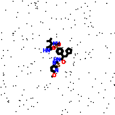 COc1ccc2nc(NC(=O)C(CC3CCCC3)c3ccc(S(=O)(=O)NC(C(C)C)C4CNC4)cc3)sc2n1